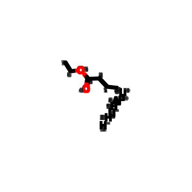 CCCC(=O)OCC.[Al+3].[H-].[H-].[H-].[H-].[Li+]